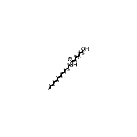 CCCCCCCCCCCCNC(=O)CCCCCO